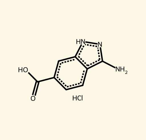 Cl.Nc1n[nH]c2cc(C(=O)O)ccc12